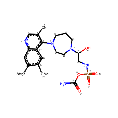 COc1cc2ncc(C#N)c(N3CCCN(C(O)CNS(=O)(=O)OC(N)=O)CC3)c2cc1OC